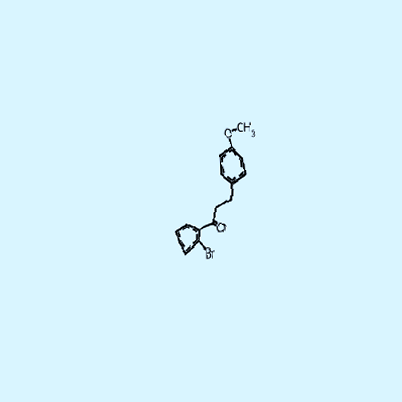 COc1ccc(CCC(=O)c2ccccc2Br)cc1